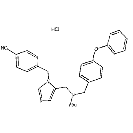 CCCCN(Cc1ccc(Oc2ccccc2)cc1)Cc1cncn1Cc1ccc(C#N)cc1.Cl